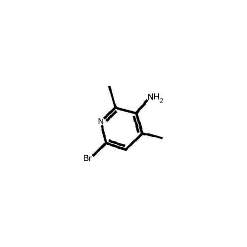 Cc1cc(Br)nc(C)c1N